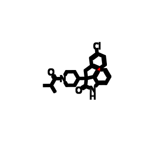 CC(C)C(=O)N1CCC(C2(Cc3cccc(Cl)c3)C(=O)Nc3ccccc32)CC1